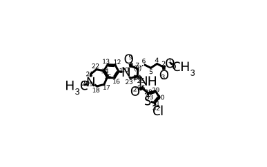 COC(=O)CCC[C@H]1C(=O)N(c2ccc3c(c2)CCN(C)CC3)C[C@@H]1NC(=O)c1ccc(Cl)s1